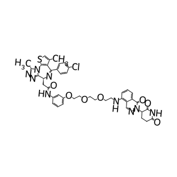 Cc1csc2c1C(c1ccc(Cl)cc1)=N[C@@H](CC(=O)Nc1cccc(OCCOCCOCCNc3cccc4c(=O)n(C5CCC(=O)NC5=O)ncc34)c1)c1nnc(C)n1-2